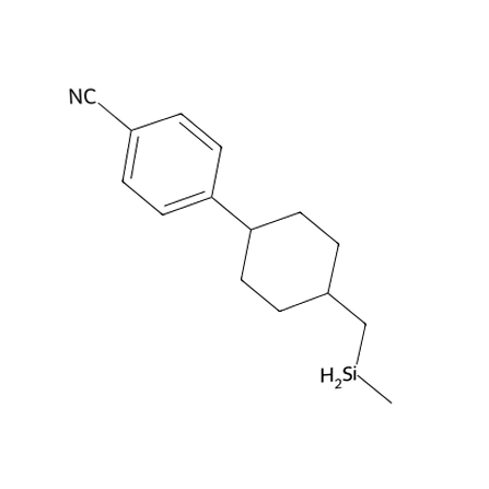 C[SiH2]CC1CCC(c2ccc(C#N)cc2)CC1